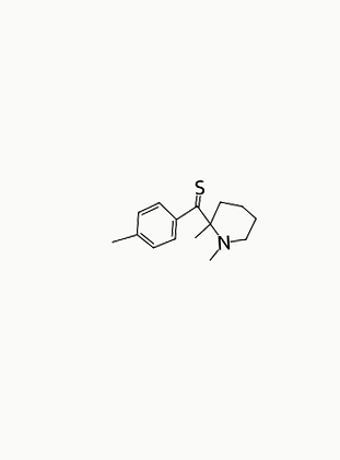 Cc1ccc(C(=S)C2(C)CCCCN2C)cc1